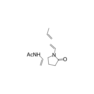 C=CC.C=CN1CCCC1=O.C=CNC(C)=O